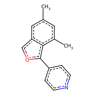 Cc1cc(C)c2c(-c3ccncc3)occ2c1